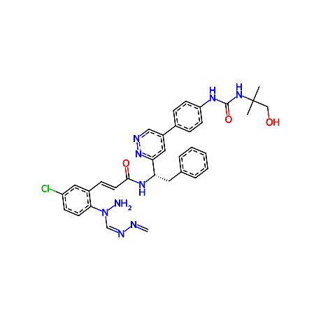 C=N/N=C\N(N)c1ccc(Cl)cc1/C=C/C(=O)N[C@@H](Cc1ccccc1)c1cc(-c2ccc(NC(=O)NC(C)(C)CO)cc2)cnn1